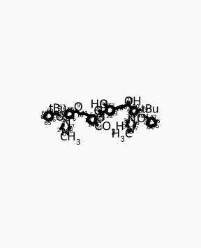 CN1CCN(c2cc(C(=O)C=Cc3ccc(C(=O)O)c(OC(=O)c4ccc(C#CC(O)c5cc(N6CCN(C)CC6)c(OCc6ccccc6)c(C(C)(C)C)c5)cc4O)c3)cc(C(C)(C)C)c2OCc2ccccc2)CC1